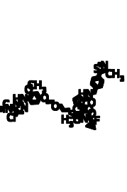 CNc1nc(Nc2ccc(OCCOCCCSC(C)(C)C(NC(=O)C3(F)CC3)C(=O)N3CCCC3C(=O)NCc3ccc(-c4scnc4C)cc3)cc2OC)ncc1Cl